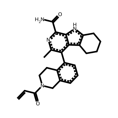 C=CC(=O)N1CCc2c(cccc2-c2c(C)nc(C(N)=O)c3[nH]c4c(c23)CCCC4)C1